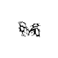 COc1ccc(OC)c(CNCC(N)(c2ccccc2)c2ccccc2)c1